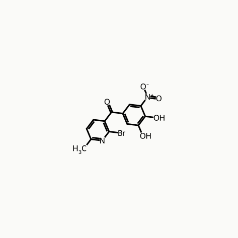 Cc1ccc(C(=O)c2cc(O)c(O)c([N+](=O)[O-])c2)c(Br)n1